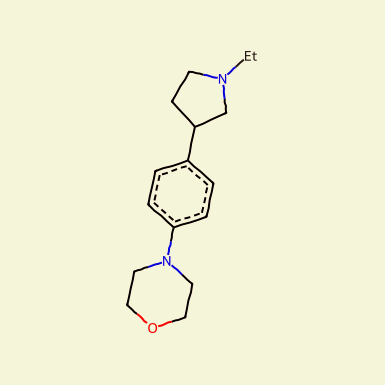 CCN1CCC(c2ccc(N3CCOCC3)cc2)C1